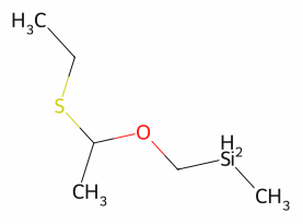 CCSC(C)OC[SiH2]C